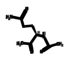 CC(=O)N[C@@H](CCC(N)=O)C(C)=O